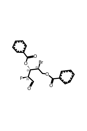 O=C[C@@H](F)[C@H](OC(=O)c1ccccc1)[C@@H](Br)COC(=O)c1ccccc1